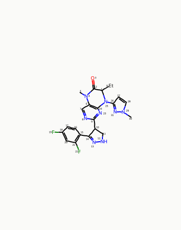 CCC1C(=O)N(C)c2cnc(C3CNN=C3c3ccc(F)cc3F)nc2N1c1ccn(C)n1